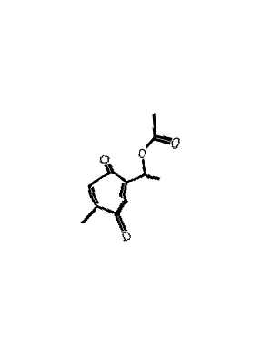 CC(=O)OC(C)C1=CC(=O)C(C)=CC1=O